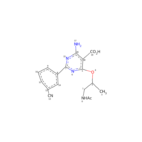 CC(=O)NCC(C)Oc1nc(-c2cccc(C#N)c2)nc(N)c1C(=O)O